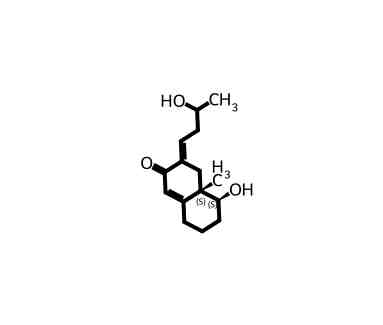 CC(O)CC=C1C[C@@]2(C)C(=CC1=O)CCC[C@@H]2O